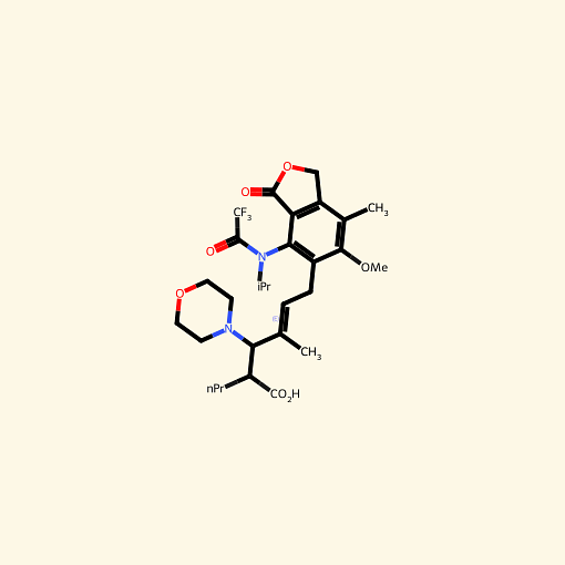 CCCC(C(=O)O)C(/C(C)=C/Cc1c(OC)c(C)c2c(c1N(C(=O)C(F)(F)F)C(C)C)C(=O)OC2)N1CCOCC1